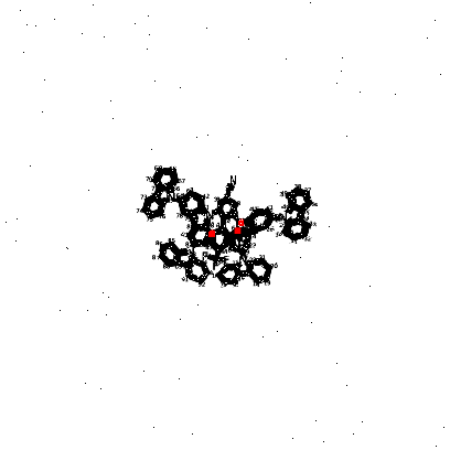 N#Cc1cc(-n2c3ccc(-n4c5ccccc5c5ccccc54)cc3c3cc(-n4c5ccccc5c5ccccc54)ccc32)c(-c2ccc(C(F)(F)F)cc2C(F)(F)F)c(-n2c3ccc(-n4c5ccccc5c5ccccc54)cc3c3cc(-n4c5ccccc5c5ccccc54)ccc32)c1